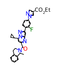 CCOC(=O)c1cnn(-c2ccc(-c3cc4nc(C(=O)N5CCc6ccccc6C5C)cc(C5CC5)n4n3)c(F)c2)c1